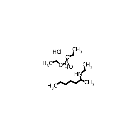 CCCCCC(C)NCC.CCO[PH](=O)OCC.Cl